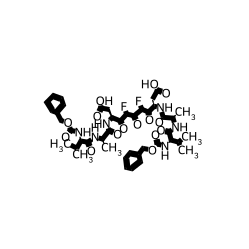 CC(C)[C@H](NC(=O)OCc1ccccc1)C(=O)N[C@@H](C)C(=O)N[C@@H](CC(=O)O)C(=O)C(F)C(=O)C(F)C(=O)[C@H](CC(=O)O)NC(=O)[C@H](C)NC(=O)[C@@H](NC(=O)OCc1ccccc1)C(C)C